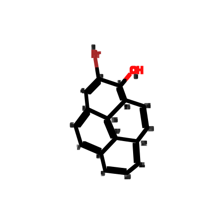 Oc1c(Br)cc2ccc3cccc4ccc1c2c34